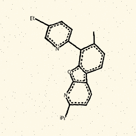 CCc1ccc(-c2c(C)ccc3c2oc2nc(C(C)C)ccc23)nc1